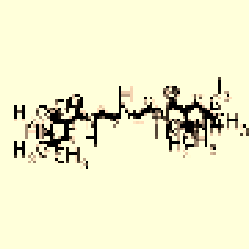 CC1(C)CC(C(=O)NCCNCCNC(=O)C2CC(C)(C)NC2(C)C)C(C)(C)N1